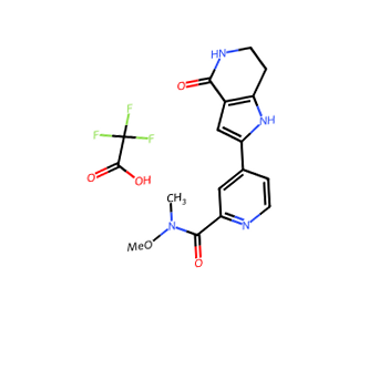 CON(C)C(=O)c1cc(-c2cc3c([nH]2)CCNC3=O)ccn1.O=C(O)C(F)(F)F